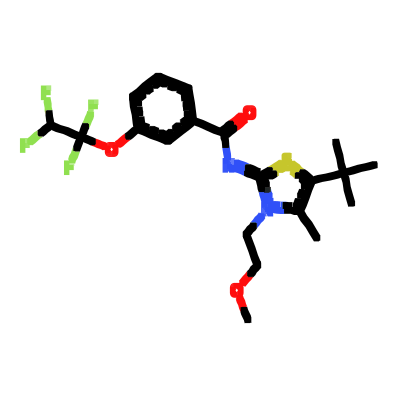 COCCn1c(C)c(C(C)(C)C)s/c1=N\C(=O)c1cccc(OC(F)(F)C(F)F)c1